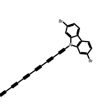 C#CC#CC#CC#CC#CC#Cn1c2cc(Br)ccc2c2ccc(Br)cc21